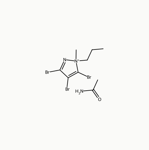 CC(N)=O.CCC[N+]1(C)N=C(Br)C(Br)=C1Br